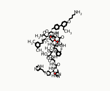 CCc1cc(OCCCCN)ccc1-c1ccc(C[C@H](NC(=O)[C@H](CC(=O)O)NC(=O)[C@H](CO)NC(=O)[C@@H](NC(=O)[C@](C)(Cc2ccccc2F)NC(=O)[C@@H](NC(=O)CNC(=O)[C@H](Cc2nn[nH]n2)NC(=O)[C@H]2CCN(CCc3cnc[nH]3)C2)[C@@H](C)O)[C@@H](C)O)C(=O)N[C@@H](CCCc2cc(C)cc(C)c2)C(N)=O)cc1